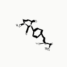 COC(=O)[C@@H](N)Cc1ccc(-n2c(=O)ccn(C)c2=O)cc1